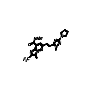 CNC(=O)c1cc(CCc2nc(N3CCCC3)nn2C)nn2c(C)c(C(F)(F)F)nc12